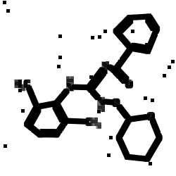 Cc1cccc(C)c1NC(=NC(=O)c1ccccc1)NOC1CCCCO1